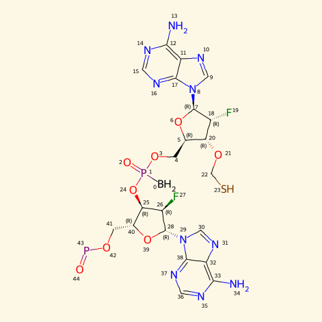 BP(=O)(OC[C@H]1O[C@@H](n2cnc3c(N)ncnc32)[C@H](F)[C@@H]1OCS)O[C@H]1[C@@H](F)[C@H](n2cnc3c(N)ncnc32)O[C@@H]1COP=O